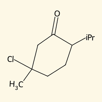 CC(C)C1CCC(C)(Cl)CC1=O